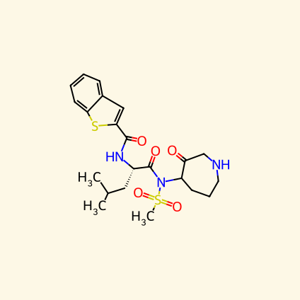 CC(C)C[C@H](NC(=O)c1cc2ccccc2s1)C(=O)N(C1CCCNCC1=O)S(C)(=O)=O